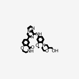 COc1cc(Nc2nc(-c3ccc4c(c3)C(=O)NCCO4)cn3ccnc23)ccc1N1CCOC(CO)C1